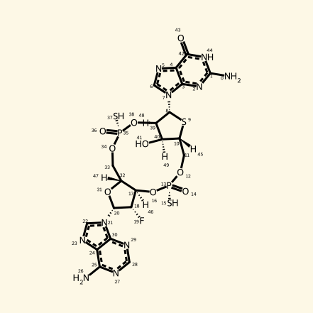 Nc1nc2c(ncn2[C@@H]2S[C@@H]3CO[P@](=O)(S)O[C@H]4[C@H](F)[C@H](n5cnc6c(N)ncnc65)O[C@@H]4CO[P@](=O)(S)O[C@@H]2[C@@H]3O)c(=O)[nH]1